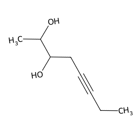 CCC#CCC(O)C(C)O